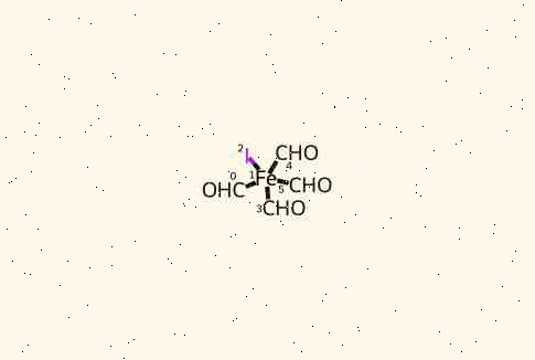 O=[CH][Fe]([I])([CH]=O)([CH]=O)[CH]=O